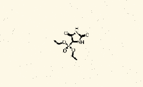 CCOP(=O)(OCC)C1NC(=O)NC1=O